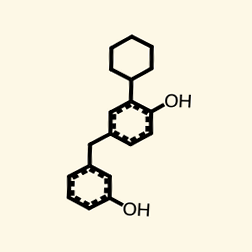 Oc1cccc(Cc2ccc(O)c(C3CCCCC3)c2)c1